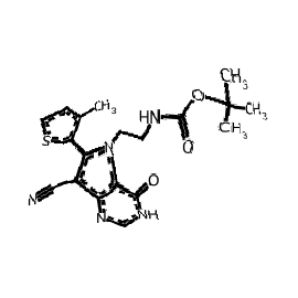 Cc1ccsc1-c1c(C#N)c2nc[nH]c(=O)c2n1CCNC(=O)OC(C)(C)C